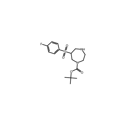 CC(C)(C)OC(=O)N1CCNCC(S(=O)(=O)c2ccc(F)cc2)C1